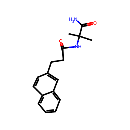 CC(C)(NC(=O)CCc1ccc2ccccc2c1)C(N)=O